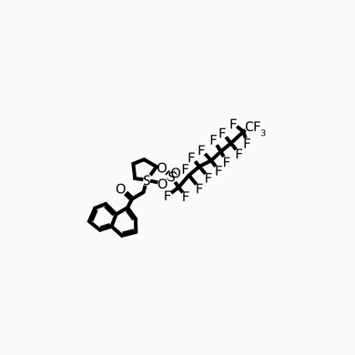 O=C(CS1(OS(=O)(=O)C(F)(F)C(F)(F)C(F)(F)C(F)(F)C(F)(F)C(F)(F)C(F)(F)C(F)(F)F)CCCC1)c1cccc2ccccc12